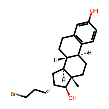 C[C@]12CC[C@@H]3c4ccc(O)cc4CC[C@H]3[C@@H]1C[C@@H](CCCBr)[C@@H]2O